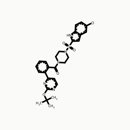 CC(C)(C)Oc1nccc(-c2ccccc2C(=O)N2CCN(S(=O)(=O)c3cc4cc(Cl)ccc4[nH]3)CC2)n1